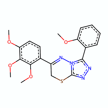 COc1ccccc1-c1nnc2n1N=C(c1ccc(OC)c(OC)c1OC)CS2